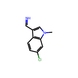 Cn1cc(C=N)c2ccc(Cl)cc21